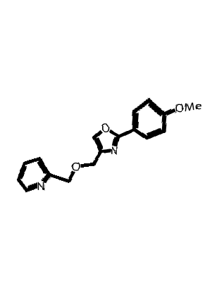 COc1ccc(-c2nc(COCc3ccccn3)co2)cc1